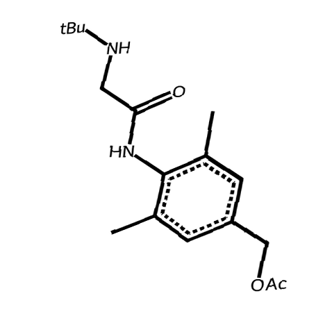 CC(=O)OCc1cc(C)c(NC(=O)CNC(C)(C)C)c(C)c1